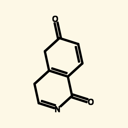 O=C1C=CC2=C(CC=NC2=O)C1